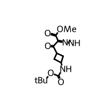 COC(=O)C(=[N+]=N)C(=O)C1CC(NC(=O)OC(C)(C)C)C1